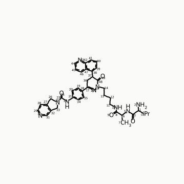 CC(C)C(N)C(=O)N[C@@H](C)C(=O)NCCCCN1N=C(c2ccc(NC(=O)N3Cc4ccncc4C3)cc2)CC(c2cccc3ncccc23)C1=O